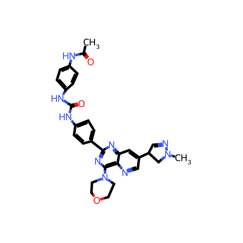 CC(=O)Nc1ccc(NC(=O)Nc2ccc(-c3nc(N4CCOCC4)c4ncc(C5C=NN(C)C5)cc4n3)cc2)cc1